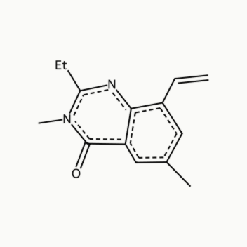 C=Cc1cc(C)cc2c(=O)n(C)c(CC)nc12